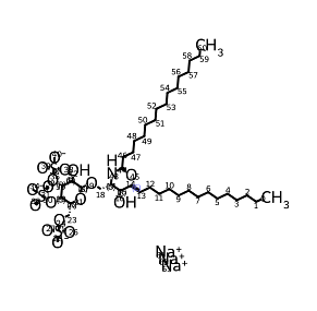 CCCCCCCCCCCCC/C=C/[C@@H](O)[C@H](CO[C@H]1O[C@H](COS(=O)(=O)[O-])[C@H](OS(=O)(=O)[O-])[C@H](OS(=O)(=O)[O-])[C@H]1O)NC(=O)CCCCCCCCCCCCCCC.[Na+].[Na+].[Na+]